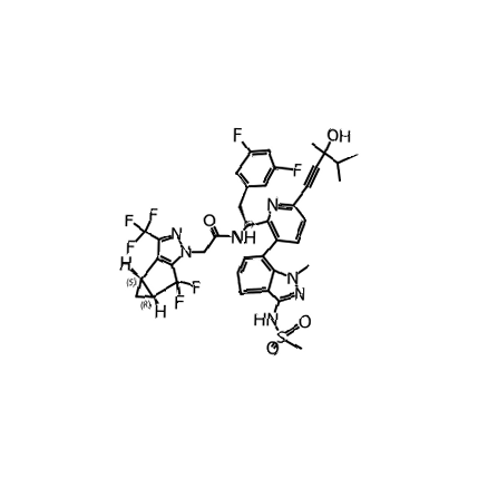 CC(C)C(C)(O)C#Cc1ccc(-c2cccc3c(NS(C)(=O)=O)nn(C)c23)c([C@H](Cc2cc(F)cc(F)c2)NC(=O)Cn2nc(C(F)(F)F)c3c2C(F)(F)[C@@H]2C[C@H]32)n1